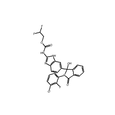 O=C(Nc1nc2ccc(C3(O)c4ccccc4C(=O)N3c3cccc(Cl)c3F)cc2[nH]1)OCC(F)F